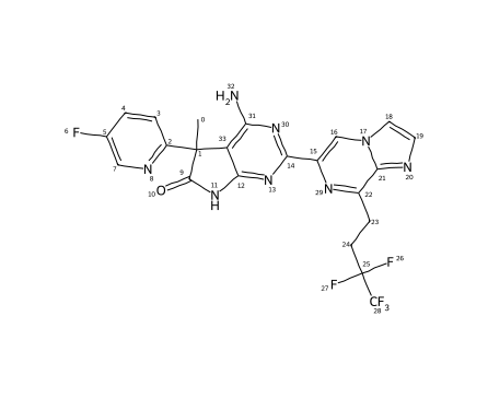 CC1(c2ccc(F)cn2)C(=O)Nc2nc(-c3cn4ccnc4c(CCC(F)(F)C(F)(F)F)n3)nc(N)c21